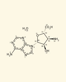 Nc1ncnc2c1ncn2[C@@H]1O[C@H](C(=O)O)[C@@H](N)[C@H]1O.O